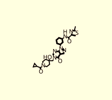 Cc1nc(C(=O)Nc2cccc(-n3ncc4c(=O)n(CC5(O)CCN(C(=O)C6CC6)CC5)cnc43)c2)cs1